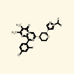 Cc1nc2c(-c3ccc(Cl)cc3F)nc([C@H]3CCO[C@@H](c4cnn(C(F)F)c4)C3)cn2c(=O)c1C